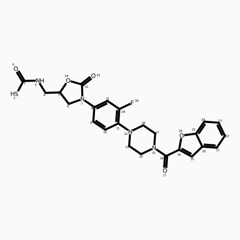 O=C(S)NCC1CN(c2ccc(N3CCN(C(=O)c4cc5ccccc5o4)CC3)c(F)c2)C(=O)O1